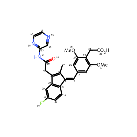 COc1cc(C=C2C(C)=C(CC(=O)Nc3cnccn3)c3cc(F)ccc32)cc(OC)c1CC(=O)O